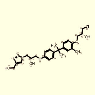 Cc1cc(C(C)(C)c2ccc(OC[C@H](O)Cn3cc(CO)nn3)cc2)ccc1OC[C@@H](O)CCl